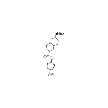 CCCCCCC1CCC2CC(C(=O)Oc3ccc(CCC)cc3)CCC2C1